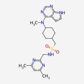 Cc1cc(C)nc(CNS(=O)(=O)CC2CCC(N(C)c3ncnc4[nH]ccc34)CC2)n1